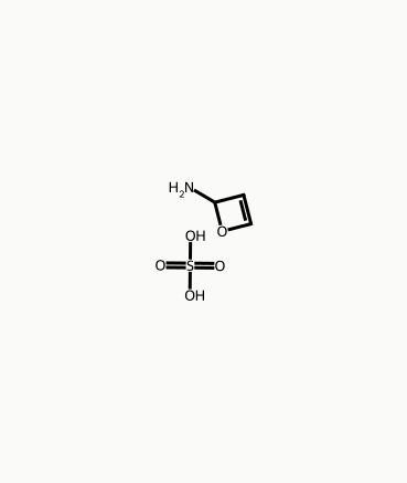 NC1C=CO1.O=S(=O)(O)O